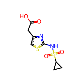 O=C(O)Cc1csc(NS(=O)(=O)C2CC2)n1